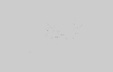 CCCCCCCCCCC[C@@H](NC[C@H](O)c1ccc(O)c(NC=O)c1)NC(=N)NC(=O)c1nc(Cl)c(N)nc1N